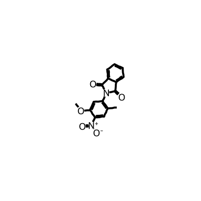 COc1cc(N2C(=O)c3ccccc3C2=O)c(C)cc1[N+](=O)[O-]